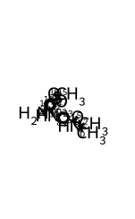 CC(C)NC(=O)[C@H]1CC[C@@H](Nc2cc(S(C)(=O)=O)ccc2N)CC1